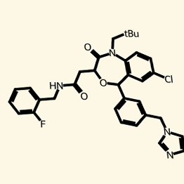 CC(C)(C)CN1C(=O)C(CC(=O)NCc2ccccc2F)OC(c2cccc(Cn3ccnc3)c2)c2cc(Cl)ccc21